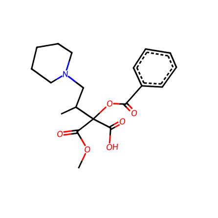 COC(=O)C(OC(=O)c1ccccc1)(C(=O)O)C(C)CN1CCCCC1